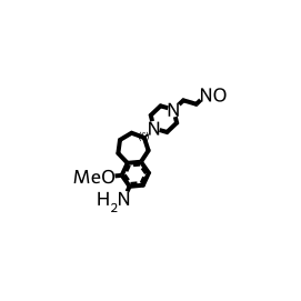 COc1c(N)ccc2c1CCC[C@H](N1CCN(CCN=O)CC1)C2